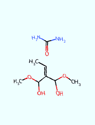 CC=C(C(O)OC)C(O)OC.NC(N)=O